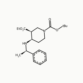 CCOC(=O)[C@H]1CN(C(=O)OC(C)(C)C)CC[C@H]1N[C@H](C)c1ccccc1